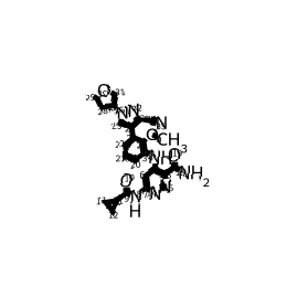 COc1c(Nc2cc(NC(=O)C3CC3)nnc2C(N)=O)cccc1-c1cn([C@H]2CCOC2)nc1C#N